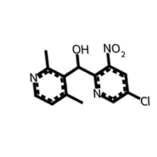 Cc1ccnc(C)c1C(O)c1ncc(Cl)cc1[N+](=O)[O-]